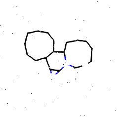 C1CCCC2C(CCC1)C1CCCCCCCN1C1NC21